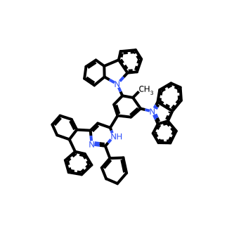 CC1C(n2c3ccccc3c3ccccc32)=CC(C2C=C(C3=CC=CCC3c3ccccc3)N=C(C3=CCCC=C3)N2)=CC1N1c2ccccc2C2C=CC=CC21